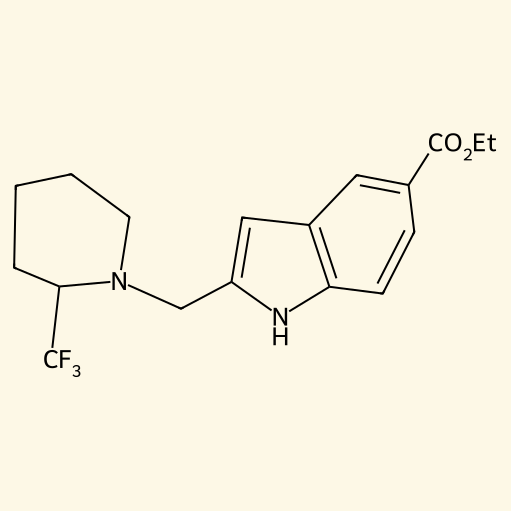 CCOC(=O)c1ccc2[nH]c(CN3CCCCC3C(F)(F)F)cc2c1